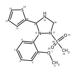 COc1ccccc1N1C(c2cccs2)NCN1S(C)(=O)=O